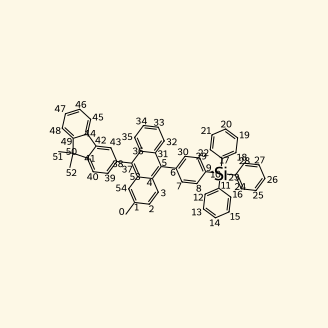 Cc1ccc2c(-c3ccc([Si](c4ccccc4)(c4ccccc4)c4ccccc4)cc3)c3ccccc3c(-c3ccc4c(c3)-c3ccccc3C4(C)C)c2c1